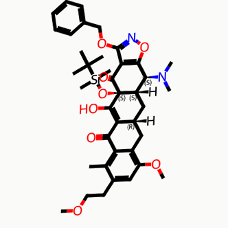 COCCc1cc(OC)c2c(c1C)C(=O)C1=C(O)[C@]3(O[Si](C)(C)C(C)(C)C)C(=O)c4c(OCc5ccccc5)noc4[C@@H](N(C)C)[C@@H]3C[C@@H]1C2